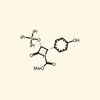 COC(=O)N1C(=O)[C@H](O[Si](C(C)C)(C(C)C)C(C)C)[C@@H]1c1ccc(O)cc1